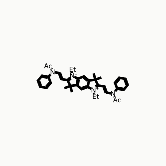 CC[N+]1=C(C=CN(C(C)=O)c2ccccc2)C(C)(C)c2cc3c(cc21)C(C)(C)C(C=CN(C(C)=O)c1ccccc1)=[N+]3CC